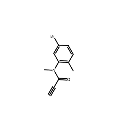 C#CC(=O)N(C)c1cc(Br)ccc1C